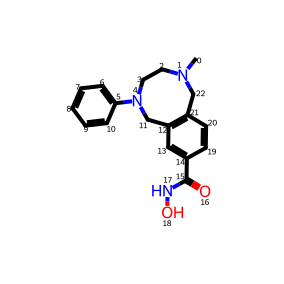 CN1CCN(c2ccccc2)Cc2cc(C(=O)NO)ccc2C1